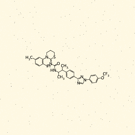 Cc1ccc(C(C)C)c(N2CCCS/C2=N\C(=O)NC(C)C(C)c2ccc(-c3ncn(-c4ccc(OC(F)(F)F)cc4)n3)cc2)c1